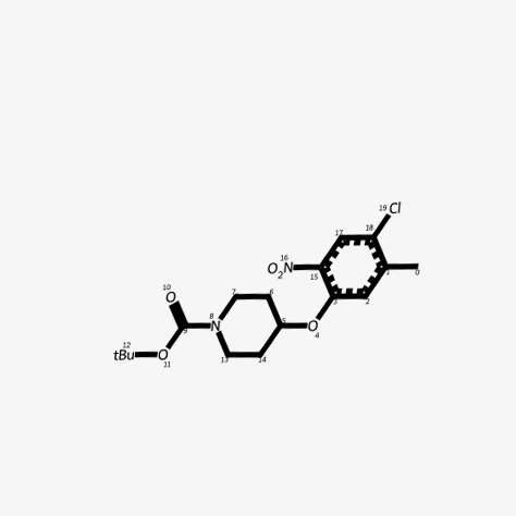 Cc1cc(OC2CCN(C(=O)OC(C)(C)C)CC2)c([N+](=O)[O-])cc1Cl